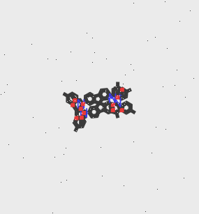 Cc1ccc(N(c2ccc(C)cc2)c2ccc3c(c2)C2(c4cc(N(c5ccc(C)cc5)c5ccc(C)cc5)ccc4-3)c3cc(N(c4ccc(C)cc4)c4ccc(C)cc4)ccc3-c3ccc4c(c32)[N+]4(c2ccc(C)cc2)c2ccc(C)cc2)cc1